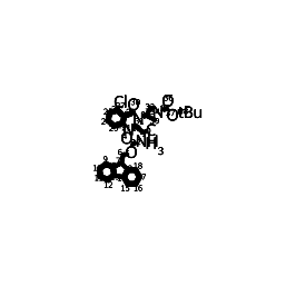 CC(NC(=O)OCC1c2ccccc2-c2ccccc21)c1nc2cccc(Cl)c2c(=O)n1C1CN(C(=O)OC(C)(C)C)C1